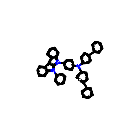 c1ccc(-c2ccc(N(c3ccc(-c4ccccc4)cc3)c3ccc(-n4c5ccccc5c5c6ccccc6n(-c6ccccc6)c54)cc3)cc2)cc1